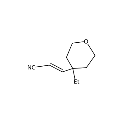 CCC1(C=CC#N)CCOCC1